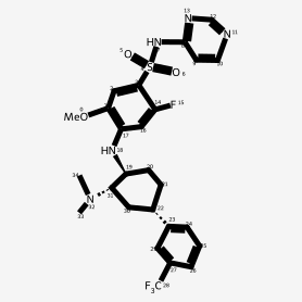 COc1cc(S(=O)(=O)Nc2ccncn2)c(F)cc1N[C@H]1CC[C@H](c2cccc(C(F)(F)F)c2)C[C@@H]1N(C)C